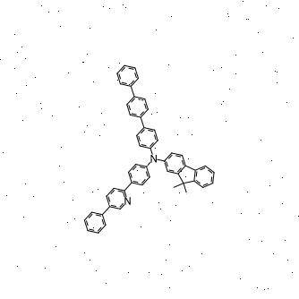 CC1(C)c2ccccc2-c2ccc(N(c3ccc(-c4ccc(-c5ccccc5)cc4)cc3)c3ccc(-c4ccc(-c5ccccc5)cn4)cc3)cc21